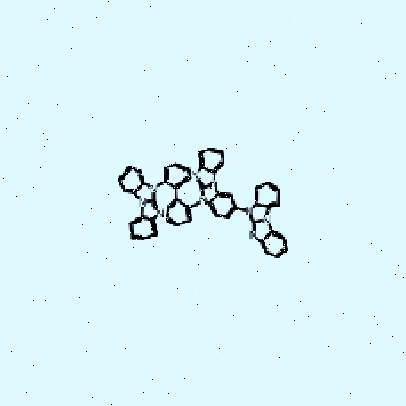 c1ccc(-n2c3ccccc3n3c4ccccc4nc23)c(-c2ccccc2-n2c3ccc(-n4c5ccccc5n5c6ccccc6nc45)cc3n3c4ccccc4nc23)c1